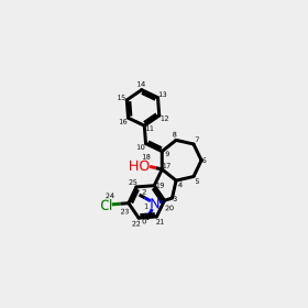 CN(C)CC1CCCCC(=Cc2ccccc2)C1(O)c1cccc(Cl)c1